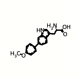 COc1ccc(-c2ccc3c(C[C@H](N)C(=O)O)c[nH]c3c2)cc1